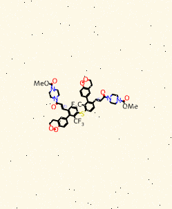 COC(=O)N1CCN(C(=O)/C=C/c2ccc(Sc3ccc(/C=C/C(=O)N4CCN(C(=O)OC)CC4)c(-c4ccc5c(c4)CCOO5)c3C(F)(F)F)c(C(F)(F)F)c2-c2ccc3c(c2)CCOO3)CC1